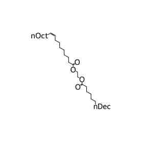 CCCCCCCC/C=C\CCCCCCCC(=O)OCCOC(=O)CCCCCCCCCCCCCCC